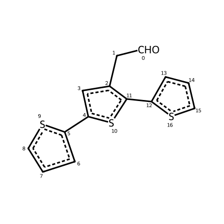 O=CCc1cc(-c2cccs2)sc1-c1cccs1